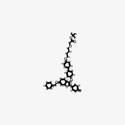 CC(C)(C)OC(=O)COCCCCOc1ccc(-c2ccc(Oc3c(-c4ccc(F)cc4)sc4cc(OCc5ccccc5)ccc34)cc2)nc1